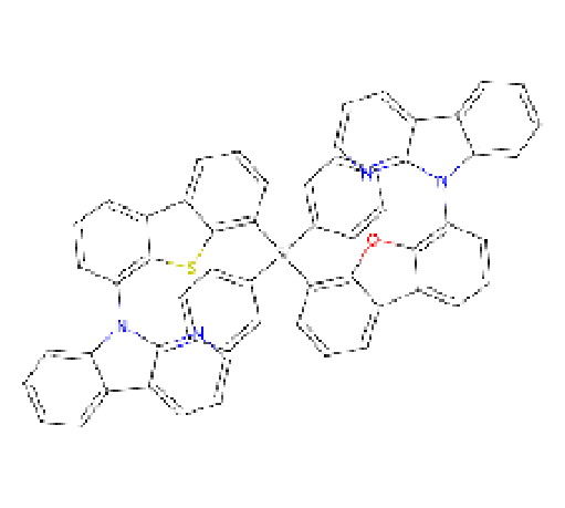 c1ccc([Si](c2ccccc2)(c2cccc3c2oc2c(-n4c5ccccc5c5cccnc54)cccc23)c2cccc3c2sc2c(-n4c5ccccc5c5cccnc54)cccc23)cc1